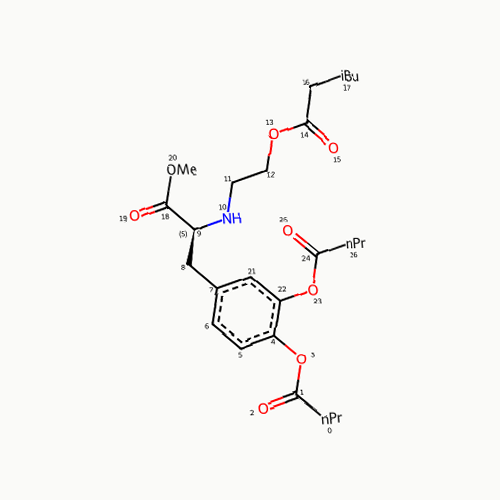 CCCC(=O)Oc1ccc(C[C@H](NCCOC(=O)CC(C)CC)C(=O)OC)cc1OC(=O)CCC